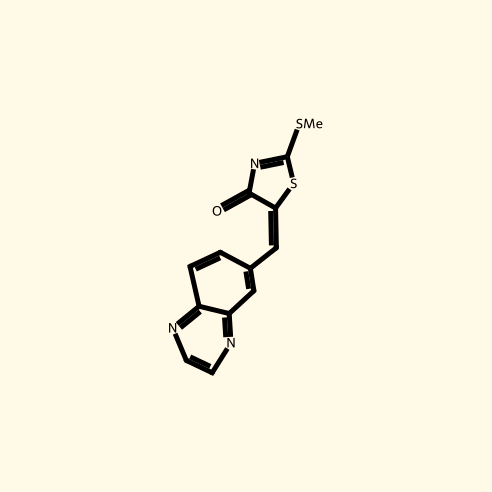 CSC1=NC(=O)/C(=C\c2ccc3nccnc3c2)S1